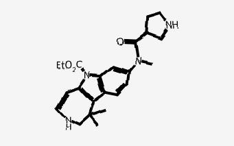 CCOC(=O)n1c2c(c3ccc(N(C)C(=O)C4CCNC4)cc31)C(C)(C)CNC=C2